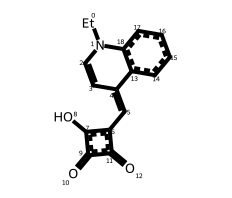 CCN1C=CC(=Cc2c(O)c(=O)c2=O)c2ccccc21